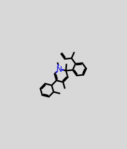 C=CC(C)c1ccccc1C1(C)C=C(C)C(C2C=CC=CC2C)=CN1C